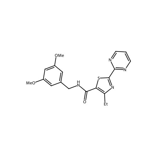 CCc1nc(-c2ncccn2)sc1C(=O)NCc1cc(OC)cc(OC)c1